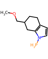 COCC1CCc2ccn(P)c2C1